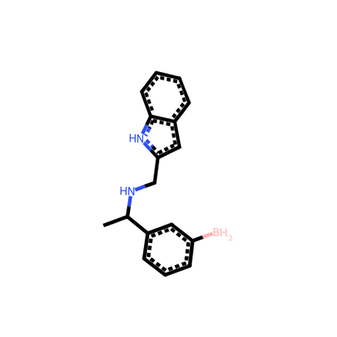 Bc1cccc(C(C)NCc2cc3ccccc3[nH]2)c1